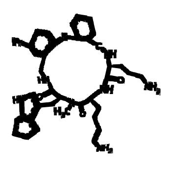 CC(C)c1ccc2c(c1)CNC(=O)[C@H](Cc1c[nH]c3ccccc13)N(C)C(=O)[C@H](CCCCN)NC(=O)[C@H](CCCN)NCc1ccccc1S2